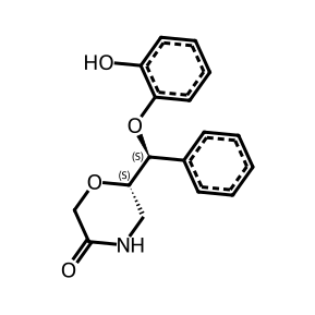 O=C1CO[C@H]([C@@H](Oc2ccccc2O)c2ccccc2)CN1